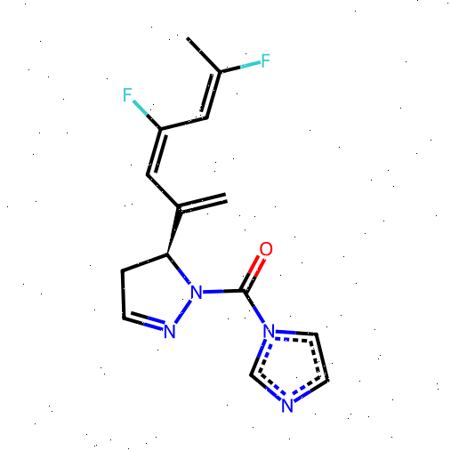 C=C(/C=C(F)\C=C(/C)F)[C@@H]1CC=NN1C(=O)n1ccnc1